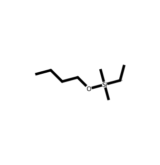 C[CH][Si](C)(C)OCCCC